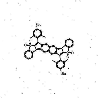 Cc1cc(C(C)(C)C)cc(C)c1C1=C2C(=c3cc4cc5c(cc4cc31)=C1C(=C5c3c(C)cc(C(C)(C)C)cc3C)S(=O)(=O)c3ccccc31)c1ccccc1S2(=O)=O